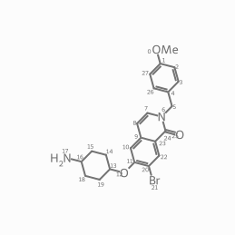 COc1ccc(Cn2ccc3cc(OC4CCC(N)CC4)c(Br)cc3c2=O)cc1